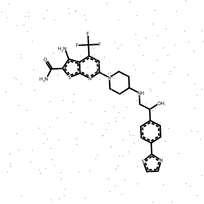 NC(=O)c1sc2nc(N3CCC(NCC(O)c4ccc(-c5nccs5)cc4)CC3)cc(C(F)(F)F)c2c1N